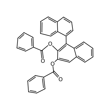 O=C(Oc1cc2ccccc2c(-c2cccc3ccccc23)c1OC(=O)c1ccccc1)c1ccccc1